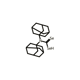 [Se]=C([SeH])N(C12CC3CC(CC(C3)C1)C2)C12CC3CC(CC(C3)C1)C2